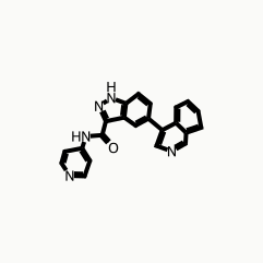 O=C(Nc1ccncc1)c1n[nH]c2ccc(-c3cncc4ccccc34)cc12